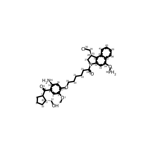 COc1cc(C(=O)C2CCC[C@H]2CO)c(N)cc1OCCCCCC(=O)N1C[C@@H](CCl)c2c1cc(OP)c1ccccc21